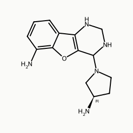 Nc1cccc2c3c(oc12)C(N1CC[C@@H](N)C1)NCN3